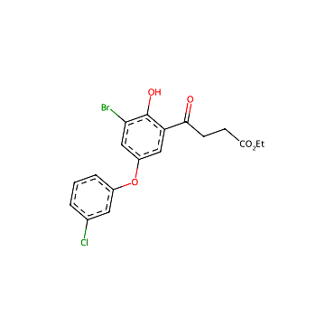 CCOC(=O)CCC(=O)c1cc(Oc2cccc(Cl)c2)cc(Br)c1O